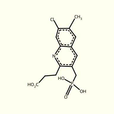 Cc1cc2cc(CP(=O)(O)O)c(CCC(=O)O)nc2cc1Cl